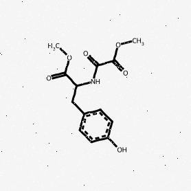 COC(=O)C(=O)NC(Cc1ccc(O)cc1)C(=O)OC